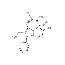 CC/C(=C/c1c(CN)n(-c2ccccc2)c2ccc(N)cc12)c1ccccc1